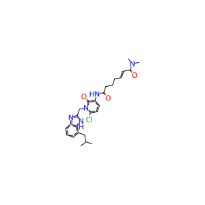 CC(C)Cc1cccc2nc(Cn3c(Cl)ccc(NC(=O)CCC/C=C/C(=O)N(C)C)c3=O)[nH]c12